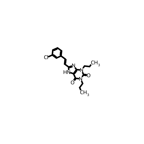 CCCn1c(=O)c2[nH]c(C=Cc3cccc(Cl)c3)nc2n(CCC)c1=O